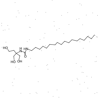 CCCCCCCCCCCCCCCCCCNC(=O)NC(CO)(CO)CCO